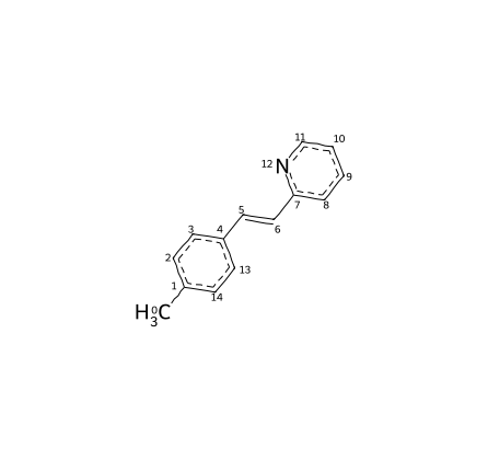 Cc1ccc(C=Cc2ccccn2)cc1